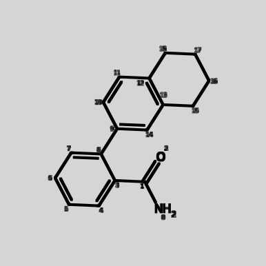 NC(=O)c1ccccc1-c1ccc2c(c1)CCCC2